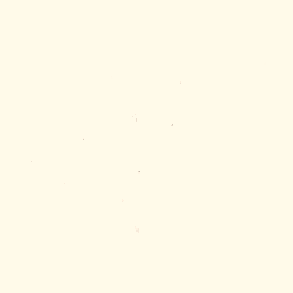 CCCCOC(=O)c1cc(Br)cc(Br)c1